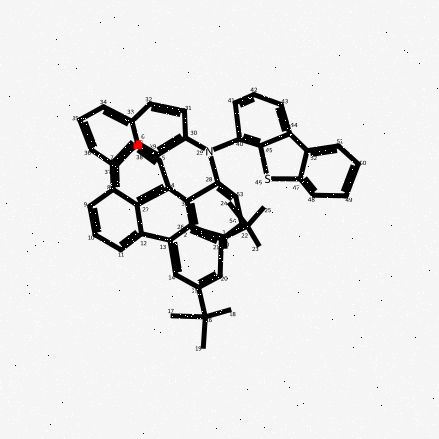 CC1C=C(c2cccc3cccc(-c4cc(C(C)(C)C)cc(C(C)(C)C)c4)c23)C(N(c2ccc3ccccc3c2)c2cccc3c2sc2ccccc23)=CC1